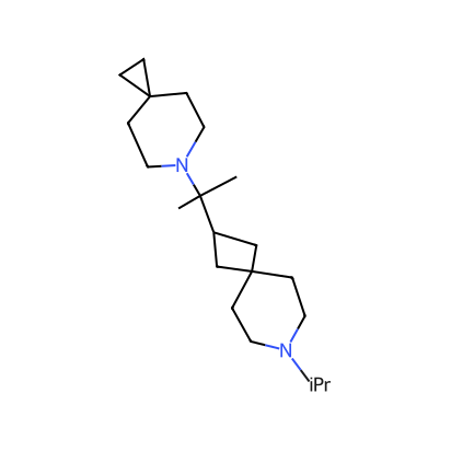 CC(C)N1CCC2(CC1)CC(C(C)(C)N1CCC3(CC1)CC3)C2